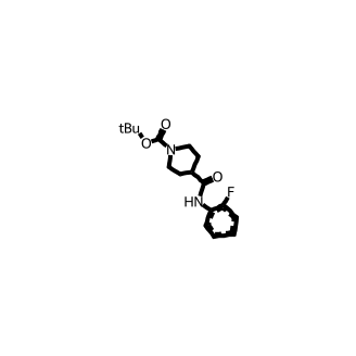 CC(C)(C)OC(=O)N1CCC(C(=O)Nc2ccccc2F)CC1